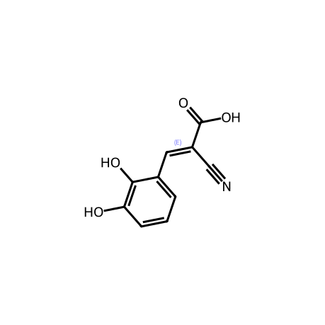 N#C/C(=C\c1cccc(O)c1O)C(=O)O